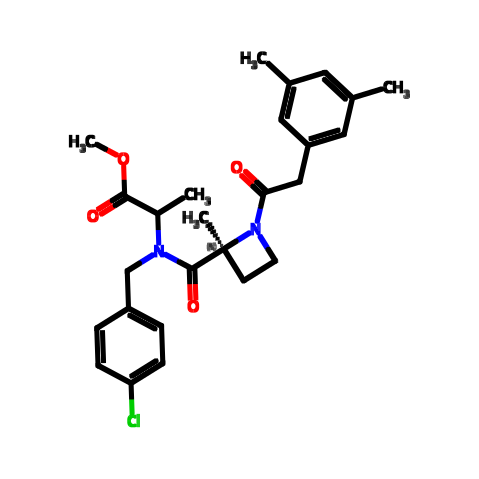 COC(=O)C(C)N(Cc1ccc(Cl)cc1)C(=O)[C@]1(C)CCN1C(=O)Cc1cc(C)cc(C)c1